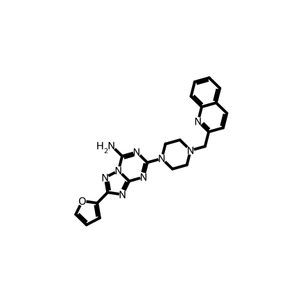 Nc1nc(N2CCN(Cc3ccc4ccccc4n3)CC2)nc2nc(-c3ccco3)nn12